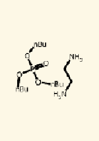 CCCCOP(=O)(OCCCC)OCCCC.NCCN